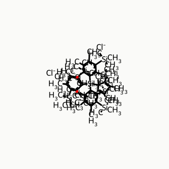 CC1=C(C)C(C)([Si](c2c([Si](C)(C)C)c(C)c(C)c([Si](C)(C)C)c2[Si](C)(C)C)(c2c([Si](C)(C)C)c(C)c(C)c([Si](C)(C)C)c2[Si](C)(C)C)c2c([Si](C)(C)C)c(C)c(C)c([Si](C)(C)C)c2[Si](C)(C)C)[C]([Ti+3])=C1C.[Cl-].[Cl-].[Cl-]